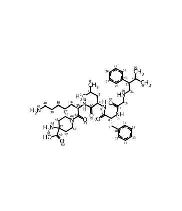 CC(C)C[C@@H](NC(=O)[C@@H](Cc1ccccc1)NC(=O)CNC[C@@H](c1ccccc1)C(C)C)C(=O)N[C@H](CCCCCN)C(=O)N1CCC(N)(C(=O)O)CC1